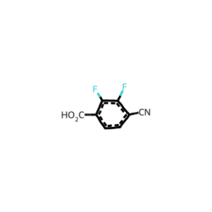 N#Cc1ccc(C(=O)O)c(F)c1F